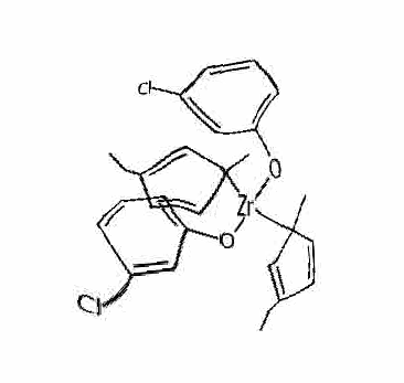 CC1=C[C](C)([Zr]([O]c2cccc(Cl)c2)([O]c2cccc(Cl)c2)[C]2(C)C=CC(C)=C2)C=C1